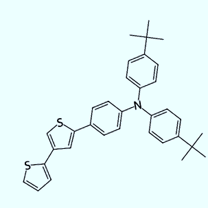 CC(C)(C)c1ccc(N(c2ccc(-c3cc(-c4cccs4)cs3)cc2)c2ccc(C(C)(C)C)cc2)cc1